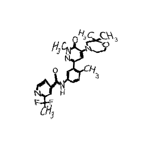 Cc1ccc(NC(=O)c2ccnc(C(C)(F)F)c2)cc1-c1cc(N2CCOC(C)(C)C2)c(=O)n(C)n1